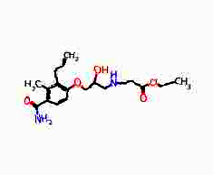 C=CCc1c(OCC(O)CNCCC(=O)OCC)ccc(C(N)=O)c1C